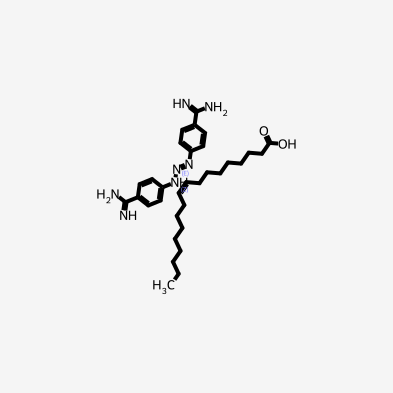 CCCCCCCC/C=C\CCCCCCCC(=O)O.N=C(N)c1ccc(/N=N/Nc2ccc(C(=N)N)cc2)cc1